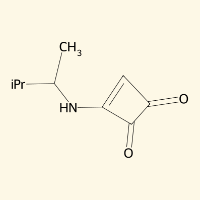 CC(C)C(C)Nc1cc(=O)c1=O